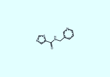 O=C(NCc1cccnc1)c1cncs1